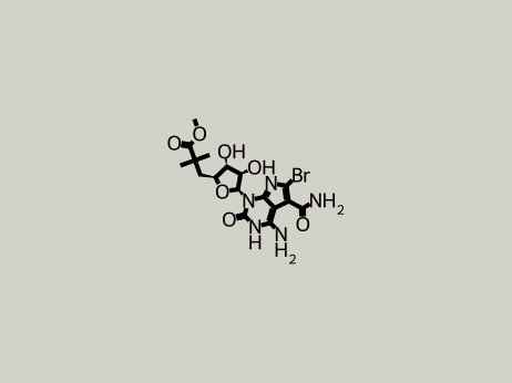 COC(=O)C(C)(C)C[C@@H]1O[C@H](n2c3nc(Br)c(C(N)=O)c-3c(N)[nH]c2=O)[C@H](O)[C@H]1O